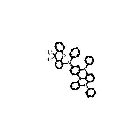 CC1(C)c2ccccc2Oc2c(N(c3ccccc3)c3ccc4c(c3)N(c3ccccc3)c3cccc5c3B4c3ccccc3N5c3ccccc3)cccc21